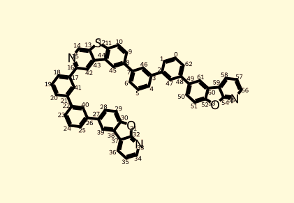 c1cc(-c2cccc(-c3ccc4sc5cnc(-c6cccc(-c7cccc(-c8ccc9oc%10ncccc%10c9c8)c7)c6)cc5c4c3)c2)cc(-c2ccc3oc4ncccc4c3c2)c1